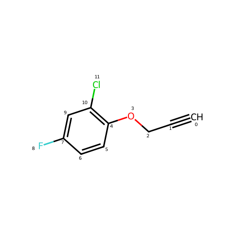 C#CCOc1ccc(F)cc1Cl